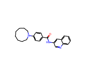 O=C(Nc1cnc2ccccc2c1)c1ccc(N2CCCCCCCC2)cc1